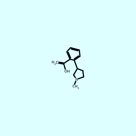 C=C(O)c1ccccc1C1CCN(C)C1